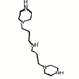 C(CNCCCN1CCNCC1)CN1CCNCC1